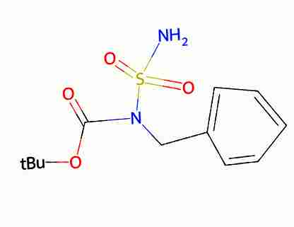 CC(C)(C)OC(=O)N(Cc1ccccc1)S(N)(=O)=O